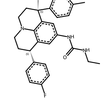 CCNC(=O)Nc1cc2c3c(c1)[C@](C)(c1ccc(C)cc1)CCN3CC[C@H]2c1ccc(F)cc1